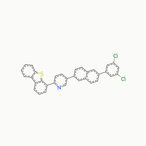 Clc1cc(Cl)cc(-c2ccc3cc(-c4ccc(-c5cccc6c5sc5ccccc56)nc4)ccc3c2)c1